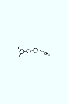 CCCCC1CCC(c2ccc(-c3cc(F)cc(F)c3)cc2)CC1